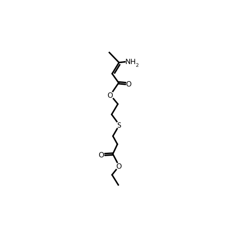 CCOC(=O)CCSCCOC(=O)/C=C(/C)N